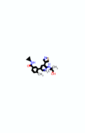 Cc1ccc(C(=O)NC2CC2)cc1-c1cnc(NC(C)(C)CO)c(-c2cnsc2)c1